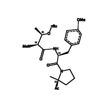 CCCCO[C@H](C)[C@H](NC)C(=O)N[C@@H](Cc1ccc(OC)cc1)C(=O)N1CCC[C@@]1(C)C(C)=O